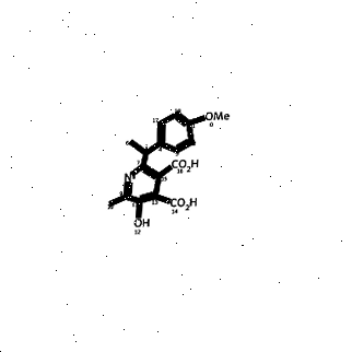 COc1ccc(C(C)c2nc(C)c(O)c(C(=O)O)c2C(=O)O)cc1